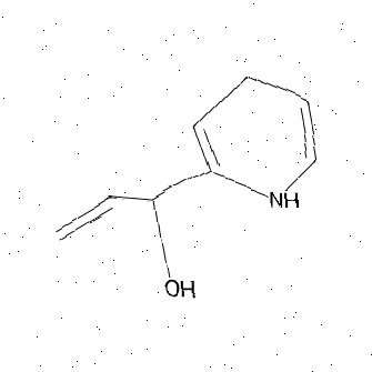 C=CC(O)C1=CCC=CN1